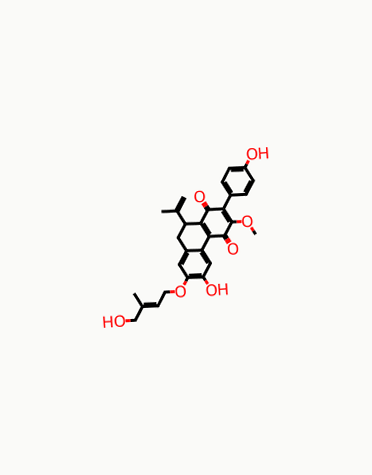 C=C(C)C1Cc2cc(OC/C=C(\C)CO)c(O)cc2C2=C1C(=O)C(c1ccc(O)cc1)=C(OC)C2=O